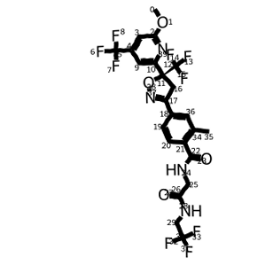 COc1cc(C(F)(F)F)cc([C@]2(C(F)(F)F)CC(c3ccc(C(=O)NCC(=O)NCC(F)(F)F)c(C)c3)=NO2)n1